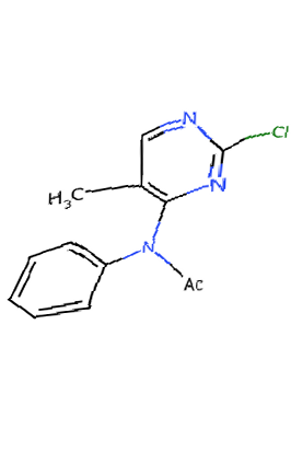 CC(=O)N(c1ccccc1)c1nc(Cl)ncc1C